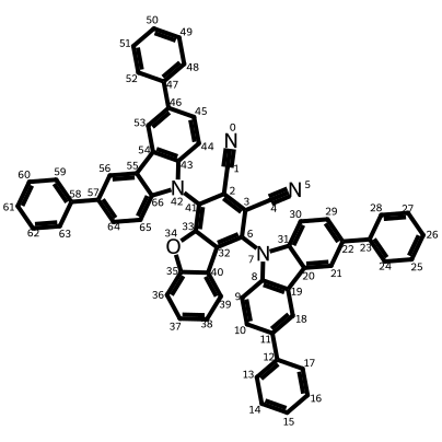 N#Cc1c(C#N)c(-n2c3ccc(-c4ccccc4)cc3c3cc(-c4ccccc4)ccc32)c2c(oc3ccccc32)c1-n1c2ccc(-c3ccccc3)cc2c2cc(-c3ccccc3)ccc21